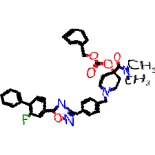 CN(C)C(=O)C1(OC(=O)OCc2ccccc2)CCN(Cc2ccc(-c3noc(-c4ccc(-c5ccccc5)c(F)c4)n3)cc2)CC1